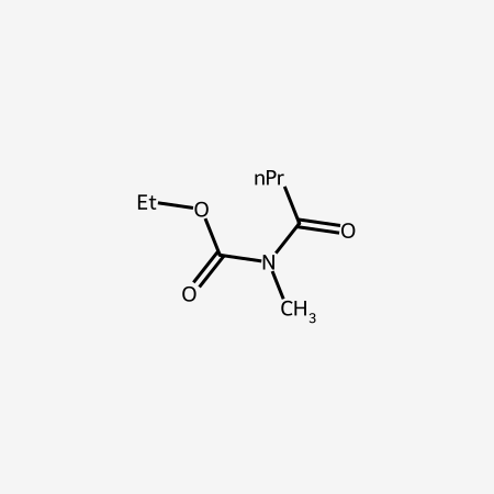 CCCC(=O)N(C)C(=O)OCC